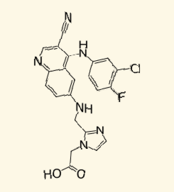 N#Cc1cnc2ccc(NCc3nccn3CC(=O)O)cc2c1Nc1ccc(F)c(Cl)c1